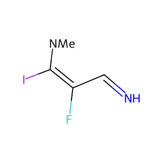 CN/C(I)=C(/F)C=N